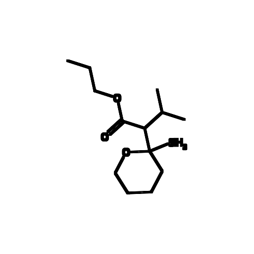 CCCOC(=O)C(C(C)C)C1([SiH3])CCCCO1